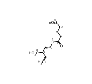 C=CC(C=COC(=O)CCCCCCCCCCC)C(=O)O